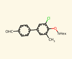 CCCCCCOc1c(C)cc(-c2ccc(C=O)cc2)cc1Cl